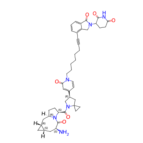 N[C@H]1C[C@@H]2C[C@@H]2C[C@H]2CC[C@@H](C(=O)N3C[C@@H](c4ccn(CCCCCCC#Cc5cccc6c5CN(C5CCC(=O)NC5=O)C6=O)c(=O)c4)CC34CC4)N2C1=O